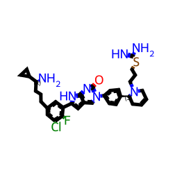 N=C(N)SCCCN1CC=CC[C@H]1c1ccc(-n2cc3cc(-c4cc(CCC[C@@H](N)C5CC5)cc(Cl)c4F)[nH]c3nc2=O)cc1